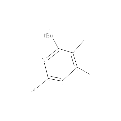 Cc1cc(Br)nc(C(C)(C)C)c1C